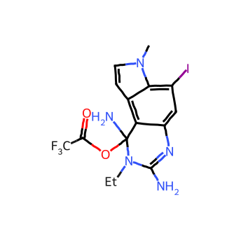 CCN1C(N)=Nc2cc(I)c3c(ccn3C)c2C1(N)OC(=O)C(F)(F)F